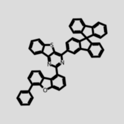 c1ccc(-c2cccc3c2oc2cccc(-c4nc(-c5ccc6c(c5)-c5ccccc5C65c6ccccc6-c6ccccc65)c5sc6ccccc6c5n4)c23)cc1